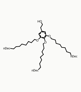 CCCCCCCCCCCCCCCCCCOc1cc(CCO)cc(OCCCCCCCCCCCCCCCCCC)c1OCCCCCCCCCCCCCCCCCC